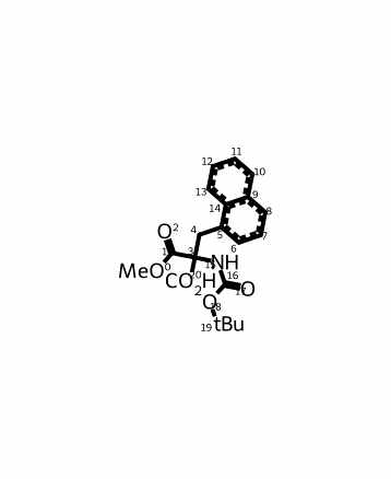 COC(=O)C(Cc1cccc2ccccc12)(NC(=O)OC(C)(C)C)C(=O)O